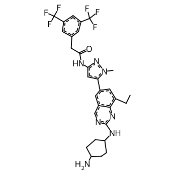 CCc1cc(-c2cc(NC(=O)Cc3cc(C(F)(F)F)cc(C(F)(F)F)c3)nn2C)cc2cnc(NC3CCC(N)CC3)nc12